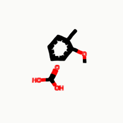 COc1ccccc1C.O=C(O)O